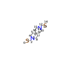 CSCN1CCC2(CC1)CCN(CSC)CC2